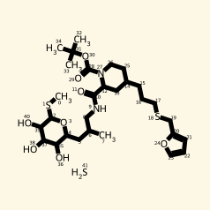 CSC1OC(CC(C)CNC(=O)C2CC(CCCSCc3ccco3)CCN2C(=O)OC(C)(C)C)C(O)C(O)C1O.S